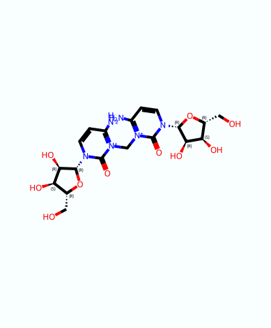 Nc1ccn([C@@H]2O[C@H](CO)[C@@H](O)[C@H]2O)c(=O)[n+]1C[n+]1c(N)ccn([C@@H]2O[C@H](CO)[C@@H](O)[C@H]2O)c1=O